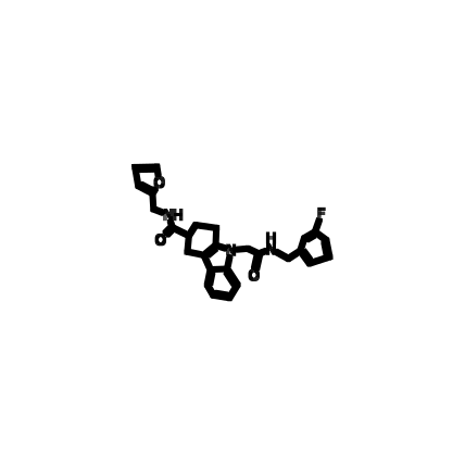 O=C(Cn1c2c(c3ccccc31)CC(C(=O)NCc1ccco1)CC2)NCc1cccc(F)c1